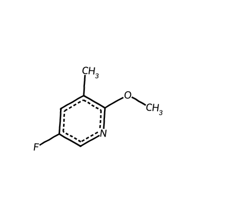 COc1ncc(F)cc1C